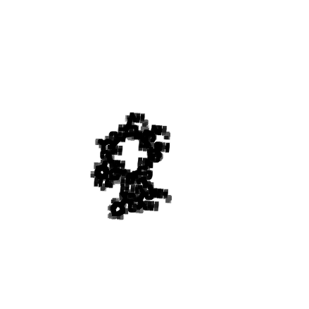 CC(C)C[C@@H]1NC(=O)[C@@H](Cc2ccccc2)NC(=O)[C@H](CCN)NC(=O)[C@@H](NC(=O)[C@H](CCN)NC(=O)[C@@H](NC(=O)[C@@H](N)C2CCCCC2)C(C)O)CCNC(=O)[C@H](C(C)O)NC(=O)[C@H](CCN)NC(=O)[C@H](CCCN)NC1=O